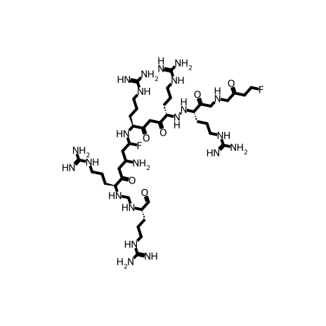 N=C(N)NCCC[C@@H](C=O)NCN[C@@H](CCCNC(=N)N)C(=O)CC(N)CC(F)N[C@@H](CCCNC(=N)N)C(=O)CC(=O)[C@H](CCCNC(=N)N)NN[C@@H](CCCNC(=N)N)C(=O)CNCC(=O)CCF